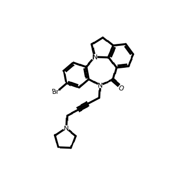 O=C1c2cccc3c2N(CC3)c2ccc(Br)cc2N1CC#CCN1CCCC1